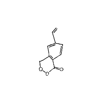 C=Cc1ccc2c(c1)COOC2=O